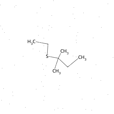 CCSC(C)(C)CC